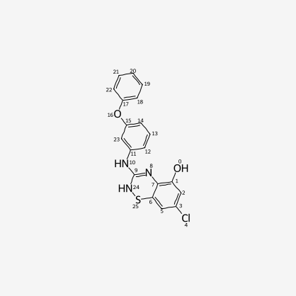 Oc1cc(Cl)cc2c1N=C(Nc1cccc(Oc3ccccc3)c1)NS2